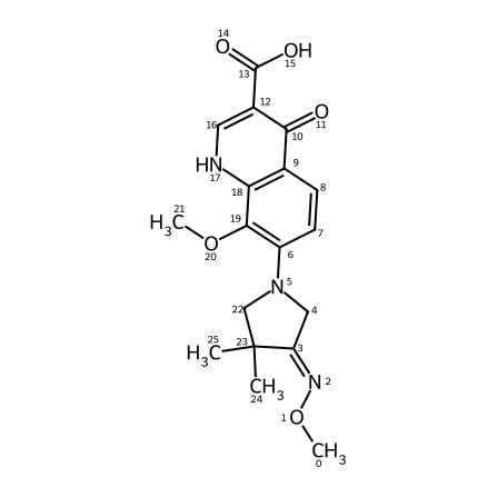 CON=C1CN(c2ccc3c(=O)c(C(=O)O)c[nH]c3c2OC)CC1(C)C